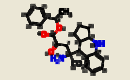 CC(OC(=O)C(=O)CC(N)(C(=O)O)C1c2ccccc2NC2CCCC21)c1ccccc1